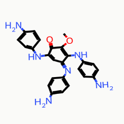 COC1=C(Nc2ccc(N)cc2)C(=Nc2ccc(N)cc2)C=C(Nc2ccc(N)cc2)C1=O